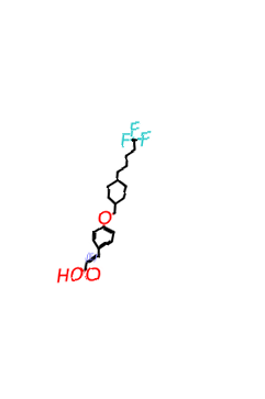 O=C(O)/C=C/c1ccc(OCC2CCC(CCCCC(F)(F)F)CC2)cc1